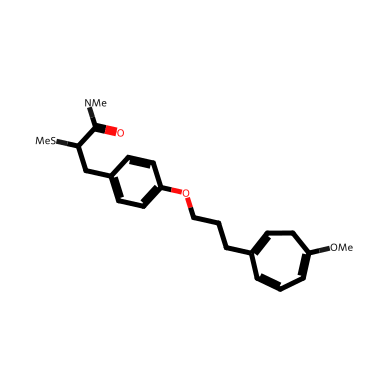 CNC(=O)C(Cc1ccc(OCCCC2=CCC(OC)=CC=C2)cc1)SC